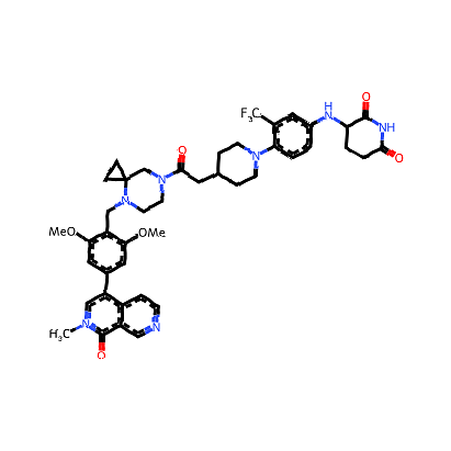 COc1cc(-c2cn(C)c(=O)c3cnccc23)cc(OC)c1CN1CCN(C(=O)CC2CCN(c3ccc(NC4CCC(=O)NC4=O)cc3C(F)(F)F)CC2)CC12CC2